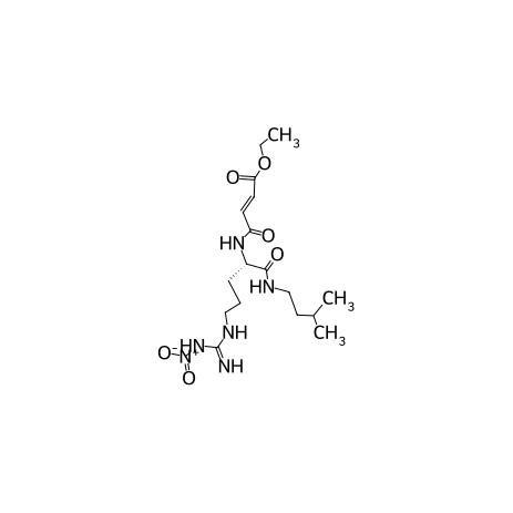 CCOC(=O)/C=C/C(=O)N[C@@H](CCCNC(=N)N[N+](=O)[O-])C(=O)NCCC(C)C